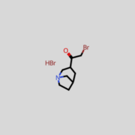 Br.O=C(CBr)C1CC2CCN(C2)C1